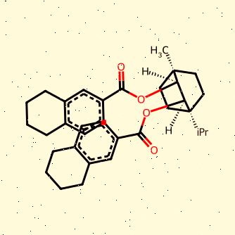 CC(C)[C@]12CC[C@](C)(CC1)[C@H](OC(=O)c1ccc3c(c1)CCCC3)[C@@H]2OC(=O)c1ccc2c(c1)CCCC2